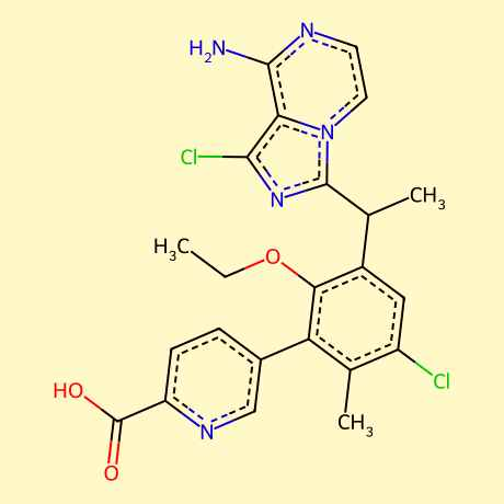 CCOc1c(C(C)c2nc(Cl)c3c(N)nccn23)cc(Cl)c(C)c1-c1ccc(C(=O)O)nc1